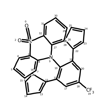 O=S1(=O)c2ccccc2N(c2c(-c3cccs3)cc(C(F)(F)F)cc2-c2cccs2)c2ccccc21